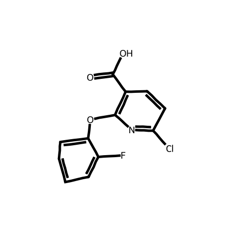 O=C(O)c1ccc(Cl)nc1Oc1ccccc1F